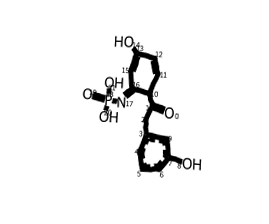 O=C(Cc1cccc(O)c1)C1C=CC(O)=CC1=NP(=O)(O)O